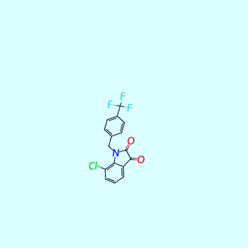 O=C1C(=O)N(Cc2ccc(C(F)(F)F)cc2)c2c(Cl)cccc21